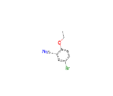 CCOc1ccc(Br)cc1C#N